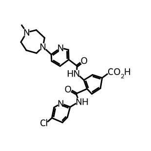 CN1CCCN(c2ccc(C(=O)Nc3cc(C(=O)O)ccc3C(=O)Nc3ccc(Cl)cn3)cn2)CC1